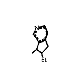 CCC1Cc2ccncc2C1C